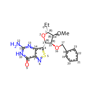 CC[C@H]1O[C@@H](c2snc3c(=O)[nH]c(N)nc23)[C@H](OCc2ccccc2)[C@@H]1OC